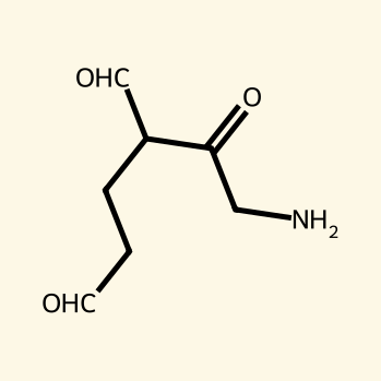 NCC(=O)C(C=O)CCC=O